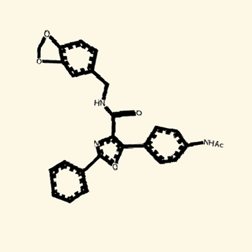 CC(=O)Nc1ccc(-c2oc(-c3ccccc3)nc2C(=O)NCc2ccc3c(c2)OCO3)cc1